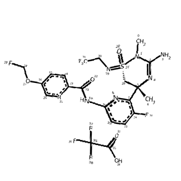 CN1C(N)=N[C@](C)(c2nc(NC(=O)c3ccc(OCF)cn3)ccc2F)C[S@@]1(=O)=NCC(F)(F)F.O=C(O)C(F)(F)F